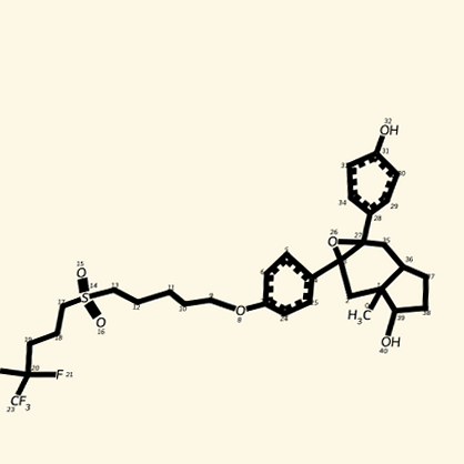 CC12CC3(c4ccc(OCCCCCS(=O)(=O)CCCC(F)(F)C(F)(F)F)cc4)OC3(c3ccc(O)cc3)CC1CCC2O